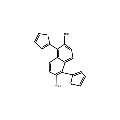 CC(C)(C)c1ccc2c(-c3ccco3)c(C(C)(C)C)ccc2c1-c1ccco1